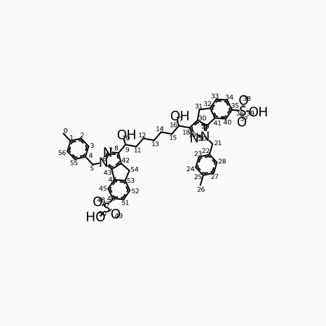 Cc1ccc(Cn2nc(C(O)CCCCCC(O)c3nn(Cc4ccc(C)cc4)c4c3Cc3ccc(S(=O)(=O)O)cc3-4)c3c2-c2cc(S(=O)(=O)O)ccc2C3)cc1